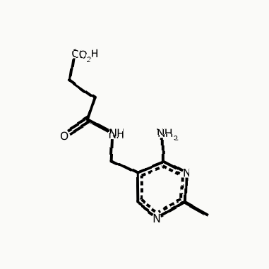 Cc1ncc(CNC(=O)CCC(=O)O)c(N)n1